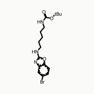 CC(C)(C)OC(=O)NCCCCCNc1nc2cc(Br)ccc2o1